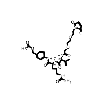 C=C(C)[C@H](NC(=O)COCCOCCN1C(=O)C=CC1=O)C(=O)N[C@@H](CCCNC(N)=O)C(=O)Nc1ccc(COC(=O)S)cc1